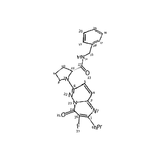 CCCc1nc2ccc(N3CCC[C@@H]3C(=O)NCc3ccccc3)nn2c(=O)c1F